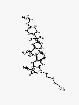 C=CCCCCOc1nc2ncnc(NC(C)c3cccc(C(F)(F)C4CCN(CC=C)CC4)c3)c2cc1C1(C#N)CC1